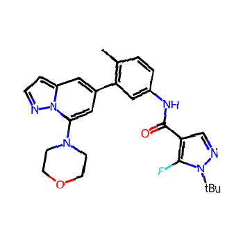 Cc1ccc(NC(=O)c2cnn(C(C)(C)C)c2F)cc1-c1cc(N2CCOCC2)n2nccc2c1